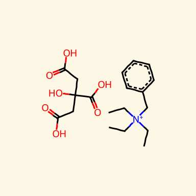 CC[N+](CC)(CC)Cc1ccccc1.O=C(O)CC(O)(CC(=O)O)C(=O)O